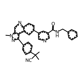 Cn1nc(-c2ccc(C(C)(C)C#N)cc2)c2c3cc(-c4cncc(C(=O)NCc5ccccc5)c4)ccc3ncc21